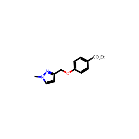 CCOC(=O)c1ccc(OCc2ccn(C)n2)cc1